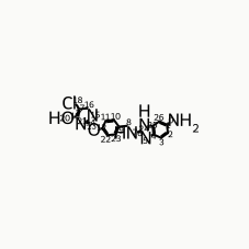 Nc1ccc2nc(NCc3ccc(Oc4ncc(Cl)c(O)n4)cc3)[nH]c2c1